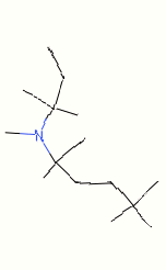 CCC(C)(C)N(C)C(C)(C)CCC(C)(C)C